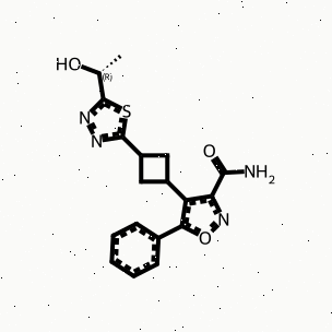 C[C@@H](O)c1nnc(C2CC(c3c(C(N)=O)noc3-c3ccccc3)C2)s1